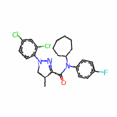 CC1CN(c2ccc(Cl)cc2Cl)N=C1C(=O)N(c1ccc(F)cc1)C1CCCCCC1